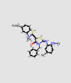 CCNc1ccc(C#N)cc1/N=C1/S/C(=C2\Sc3ccc(NC(C)=O)cc3N2C)C(=O)N1Cc1ccccc1